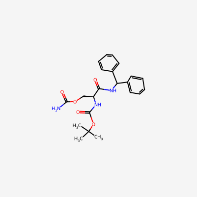 CC(C)(C)OC(=O)N[C@@H](COC(N)=O)C(=O)NC(c1ccccc1)c1ccccc1